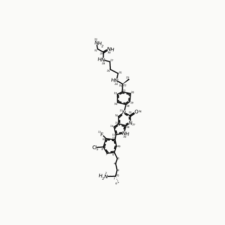 C[C@H](N)CCCc1cc(Cl)c(F)c(-c2cc3cn(-c4ccc([C@H](C)NCCCNC(=N)CN)cc4)c(=O)nc3[nH]2)c1